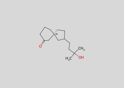 CC(C)(O)CCC1CC[C@]2(CCCC(=O)C2)C1